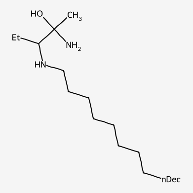 CCCCCCCCCCCCCCCCCCNC(CC)C(C)(N)O